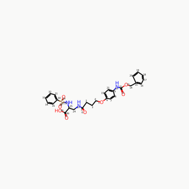 O=C(CCCOc1ccc(NC(=O)OCc2ccccc2)cc1)NCC(NS(=O)(=O)c1ccccc1)C(=O)O